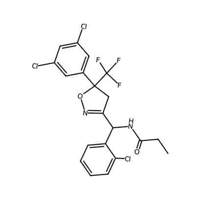 CCC(=O)NC(C1=NOC(c2cc(Cl)cc(Cl)c2)(C(F)(F)F)C1)c1ccccc1Cl